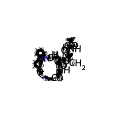 C=C[C@@H]1C[C@]1(NC(=O)[C@@H]1C[C@@H]2C[C@H]1C(=O)NNC(=O)CC/C=C/COc1ccc3c(c1)/C(=N\O2)c1ccccc1-3)C(=O)NS(=O)(=O)C1CC1